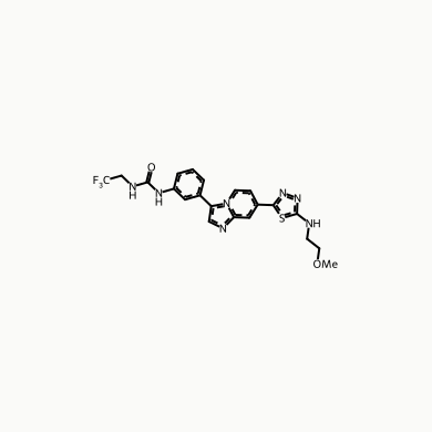 COCCNc1nnc(-c2ccn3c(-c4cccc(NC(=O)NCC(F)(F)F)c4)cnc3c2)s1